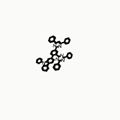 c1ccc(-c2cc(-c3ccccc3)nc(-c3ccc(-c4ccc5c6ccccc6n(-c6ccccc6)c5c4)c(-c4nc(-c5ccccc5)nc(-c5ccccc5)n4)c3)n2)cc1